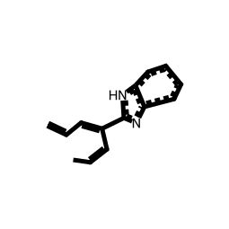 C=C/C=C(\C=C/C)c1nc2ccccc2[nH]1